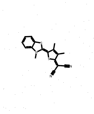 Cc1c(C)c(=C2Sc3ccccc3N2C)sc1=C(C#N)C#N